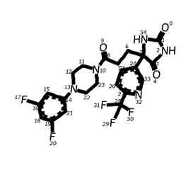 O=C1NC(=O)C(CCC(=O)N2CCN(c3cc(F)cc(F)c3)CC2)(c2ccc(C(F)(F)F)nc2)N1